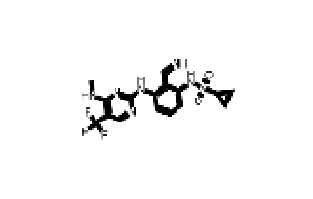 CNc1nc(Nc2cccc(NS(=O)(=O)C3CC3)c2C=N)ncc1C(F)(F)F